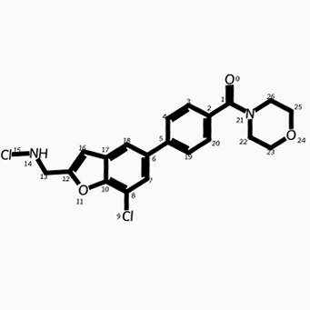 O=C(c1ccc(-c2cc(Cl)c3oc(CNCl)cc3c2)cc1)N1CCOCC1